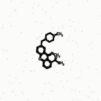 C/N=c1/c2cc(CN3CCN(C)CC3)ccc2oc2cccc(C(N)=O)c12